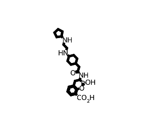 O=C(CC1CCC(NCCNC2CCCC2)CC1)NC1Cc2cccc(C(=O)O)c2OB1O